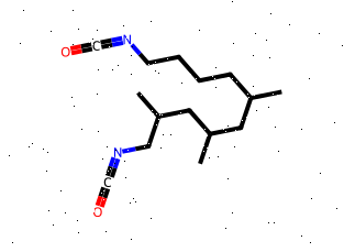 CC(CCCCN=C=O)CC(C)CC(C)CN=C=O